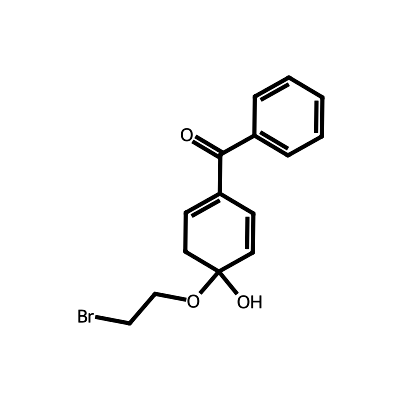 O=C(C1=CCC(O)(OCCBr)C=C1)c1ccccc1